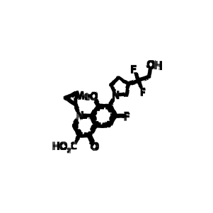 COc1c(N2CCC(C(F)(F)CO)C2)c(F)cc2c(=O)c(C(=O)O)cn(C3CC3)c12